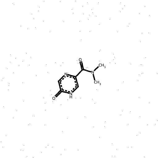 CN(C)C(=O)c1c[nH]c(=O)cn1